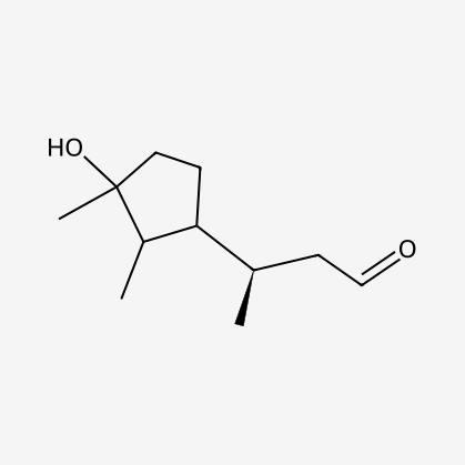 CC1C([C@H](C)CC=O)CCC1(C)O